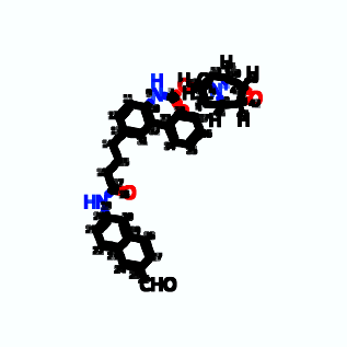 C[N+]1(C)[C@@H]2CC(OC(=O)Nc3ccc(CCCC(=O)Nc4ccc5cc(C=O)ccc5c4)cc3-c3ccccc3)C[C@H]1[C@@H]1O[C@@H]12